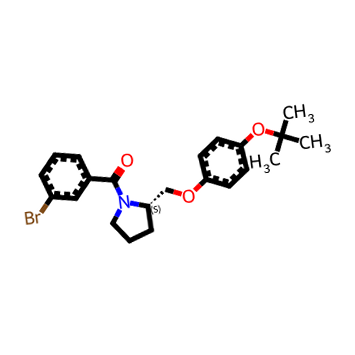 CC(C)(C)Oc1ccc(OC[C@@H]2CCCN2C(=O)c2cccc(Br)c2)cc1